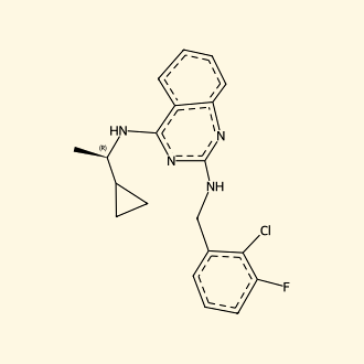 C[C@@H](Nc1nc(NCc2cccc(F)c2Cl)nc2ccccc12)C1CC1